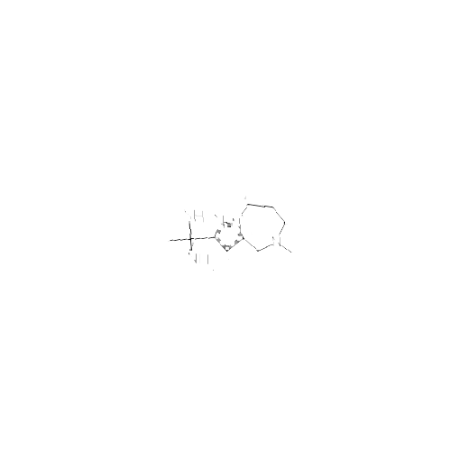 CN1CCCn2nc(C(C)(N)S)cc2C1